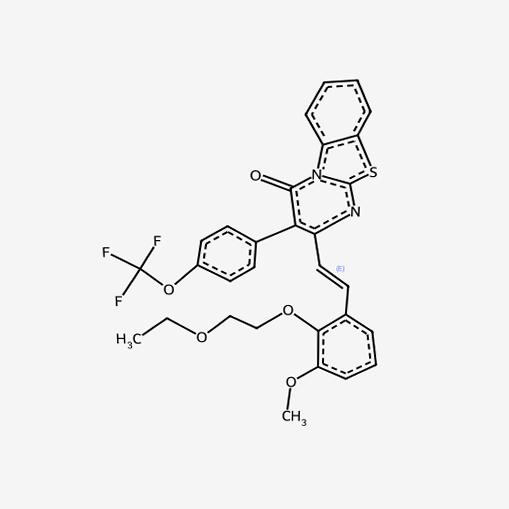 CCOCCOc1c(/C=C/c2nc3sc4ccccc4n3c(=O)c2-c2ccc(OC(F)(F)F)cc2)cccc1OC